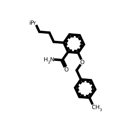 Cc1ccc(COc2cccc(CCCC(C)C)c2C(N)=O)cc1